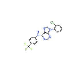 FC(F)(F)c1ccc(Nc2ncnc3c2ncn3-c2ccccc2Cl)cc1